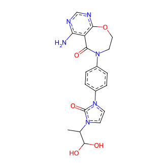 CC(C(O)O)n1ccn(-c2ccc(N3CCOc4ncnc(N)c4C3=O)cc2)c1=O